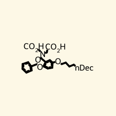 CCCCCCCCCCCCCCOc1ccc(OCc2ccccc2)c(C(=O)N(CC(=O)O)CC(=O)O)c1